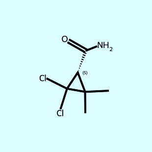 CC1(C)[C@@H](C(N)=O)C1(Cl)Cl